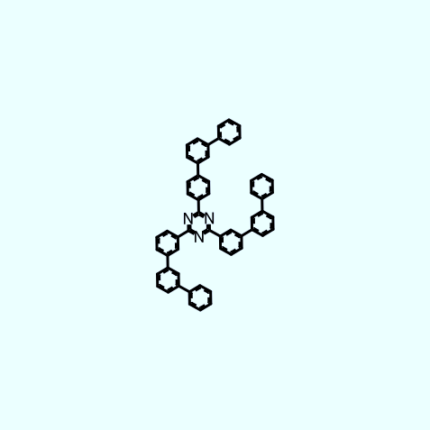 c1ccc(-c2cccc(-c3ccc(-c4nc(-c5cccc(-c6cccc(-c7ccccc7)c6)c5)nc(-c5cccc(-c6cccc(-c7ccccc7)c6)c5)n4)cc3)c2)cc1